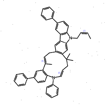 C/C=C\Cn1c2ccc(-c3ccccc3)cc2c2cc3c(cc21)C(C)(C)C/C=C/N(c1ccccc1)c1ccc(-c2ccccc2)cc1/C(C)=C/C3